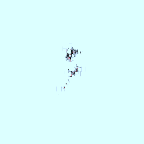 COc1cc(F)ccc1-c1cc(Nc2cc(CS(C)(=O)=NC(=O)OCc3ccc(CCC(=O)[C@H](C)NC4OC4[C@@H](NC(=O)CCOCCOCCOCCN)C(C)C)cc3)ccn2)ncc1F